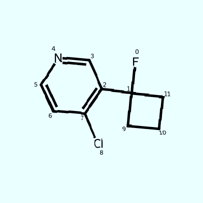 FC1(c2cnccc2Cl)CCC1